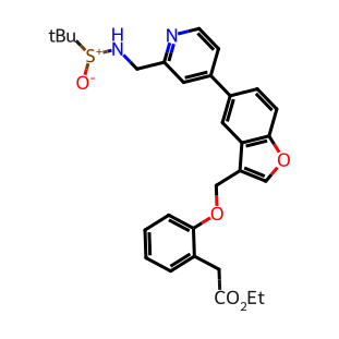 CCOC(=O)Cc1ccccc1OCc1coc2ccc(-c3ccnc(CN[S+]([O-])C(C)(C)C)c3)cc12